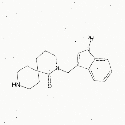 [3H]n1cc(CN2CCCC3(CCNCC3)C2=O)c2ccccc21